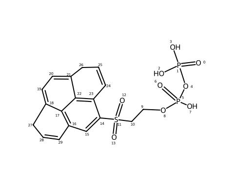 O=P(O)(O)OP(=O)(O)OCCS(=O)(=O)c1cc2c3c(ccc4c3c1C=CC4)CC=C2